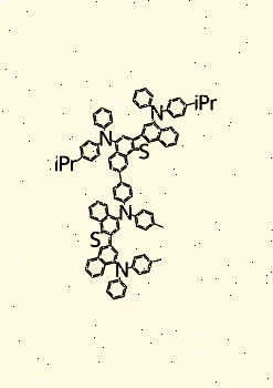 Cc1ccc(N(c2ccccc2)c2cc3c4cc(N(c5ccc(C)cc5)c5ccc(-c6ccc7c(N(c8ccccc8)c8ccc(C(C)C)cc8)cc8c9cc(N(c%10ccccc%10)c%10ccc(C(C)C)cc%10)c%10ccccc%10c9sc8c7c6)cc5)c5ccccc5c4sc3c3ccccc23)cc1